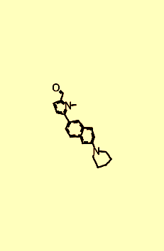 Cn1c(C=O)ccc1-c1ccc2cc(N3CCCCC3)ccc2c1